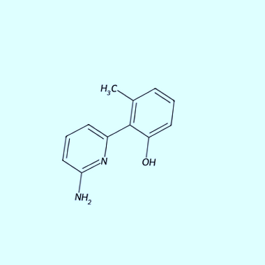 Cc1cccc(O)c1-c1cccc(N)n1